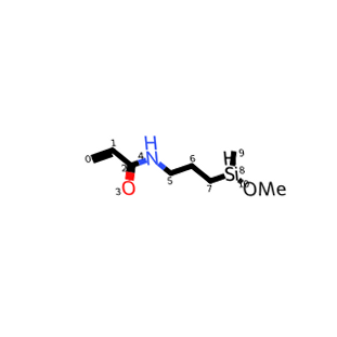 C=CC(=O)NCCC[SiH](C)OC